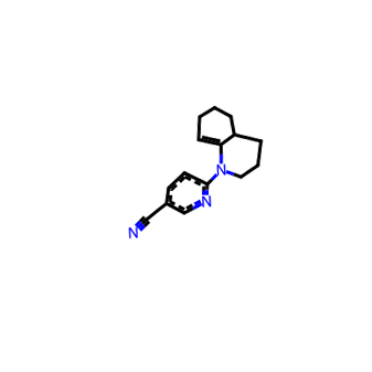 N#Cc1ccc(N2CCCC3CCCC=C32)nc1